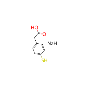 O=C(O)Cc1ccc(S)cc1.[NaH]